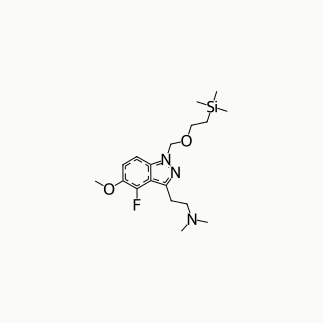 COc1ccc2c(c(CCN(C)C)nn2COCC[Si](C)(C)C)c1F